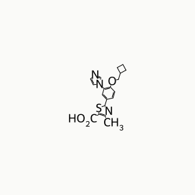 Cc1nc(-c2ccc(OCC3CCC3)c(-n3ccnc3)c2)sc1C(=O)O